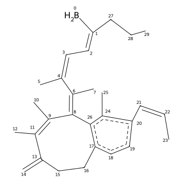 B\C(=C/C=C(C)\C(C)=C1/C(C)=C(/C)C(=C)CCc2ccc(/C=C\C)c(C)c21)CCC